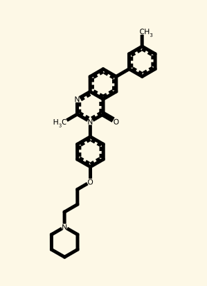 Cc1cccc(-c2ccc3nc(C)n(-c4ccc(OCCCN5CCCCC5)cc4)c(=O)c3c2)c1